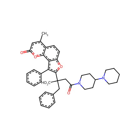 Cc1cc(=O)oc2c1ccc1oc(C(CC(=O)N3CCC(N4CCCCC4)CC3)(Cc3ccccc3)C(=O)O)c(-c3ccccc3)c12